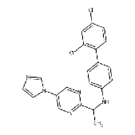 CC(Nc1ccc(-c2ccc(Cl)cc2Cl)cc1)c1ncc(-n2ccnc2)cn1